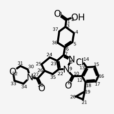 O=C(O)C1CC=C(c2nn(C(=O)c3c(Cl)cccc3C3CC3)c3c2CCC(C(=O)N2CCOCC2)C3)CC1